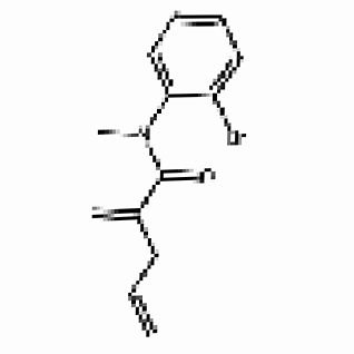 C=CCC(=C)C(=O)N(C)c1ccccc1Br